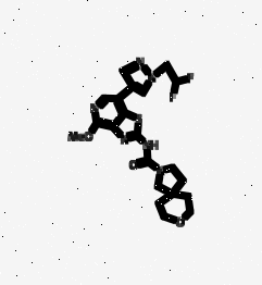 COc1ncc(-c2cnn(CC(F)F)c2)c2sc(NC(=O)N3CCC4(CCOCC4)C3)nc12